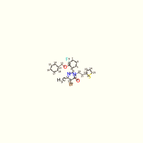 Cc1nc(-c2cccc(F)c2OCc2ccccc2)n(CCc2cccs2)c(=O)c1Br